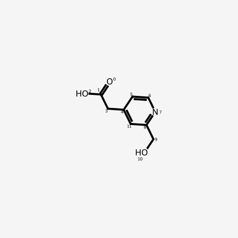 O=C(O)Cc1ccnc(CO)c1